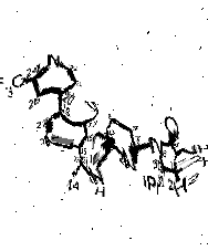 [2H]C1([2H])NC(=O)N(c2ccnc(N[C@@H](C)c3cc(C)c(-c4ccnc(C(F)(F)F)c4)cn3)n2)[C@H]1C(C)C